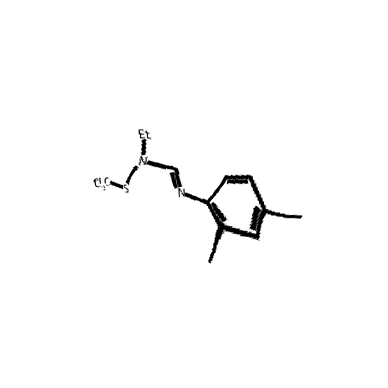 CCN(C=Nc1ccc(C)cc1C)SC(Cl)(Cl)Cl